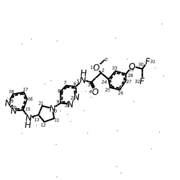 COC(C(=O)Nc1ccc(N2CCC(Nc3cccnn3)C2)nn1)c1cccc(OC(F)F)c1